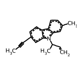 C=CC(C)n1c2cc(C)ccc2c2ccc(C#CC)cc21